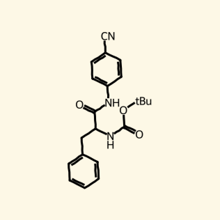 CC(C)(C)OC(=O)NC(Cc1ccccc1)C(=O)Nc1ccc(C#N)cc1